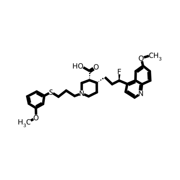 COc1cccc(SCCCN2CC[C@@H](CC[C@@H](F)c3ccnc4ccc(OC)cc34)[C@@H](C(=O)O)C2)c1